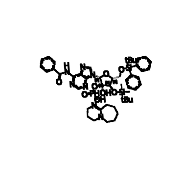 C1CCC2=NCCCN2CC1.CC(C)(C)[Si](C)(C)O[C@@H]1[C@@H](CO[Si](c2ccccc2)(c2ccccc2)C(C)(C)C)O[C@@H](n2cnc3c(NC(=O)c4ccccc4)ncnc32)[C@]1(O)O[PH](=O)O